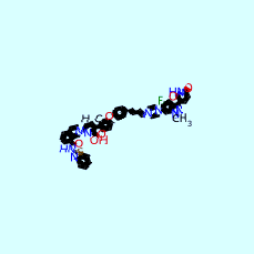 Cc1c(O[C@H]2CC[C@H](CCCCN3CCN(c4cc5c(cc4F)c(C4CCC(=O)NC4=O)nn5C)CC3)CC2)cccc1-c1ccc(N2CCc3cccc(C(=O)Nc4nc5ccccc5s4)c3C2)nc1C(=O)O